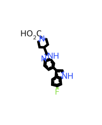 O=C(O)N1CCC(c2nc3ccc(-c4c[nH]c5cc(F)ccc45)cc3[nH]2)CC1